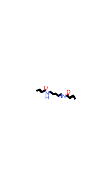 CC=CC(=O)NCCCCCNC(=O)C=CC